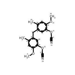 COc1cc(C)c(Cc2cc(OC#N)c(OC)cc2C)cc1OC#N